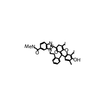 CNC(=O)c1ccc2nnn(CC(=O)c3ccccc3C3=C4C=C(I)CC(I)=C4Oc4c3cc(C)c(O)c4I)c2c1